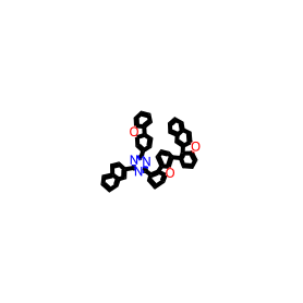 C1=CC2c3ccccc3OC2C=C1c1nc(-c2ccc3ccccc3c2)nc(-c2cccc3oc4c(-c5cccc6oc7cc8ccccc8cc7c56)cccc4c23)n1